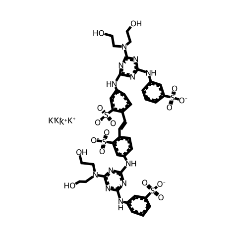 O=S(=O)([O-])c1cccc(Nc2nc(Nc3ccc(C=Cc4ccc(Nc5nc(Nc6cccc(S(=O)(=O)[O-])c6)nc(N(CCO)CCO)n5)cc4S(=O)(=O)[O-])c(S(=O)(=O)[O-])c3)nc(N(CCO)CCO)n2)c1.[K+].[K+].[K+].[K+]